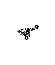 COc1cc2c(N[C@H]3CNCCOC3)c3c(nc2cc1OCCCN1CCCC1)CCC3